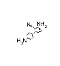 N#Cc1c(-c2ccc(N)cc2)csc1N